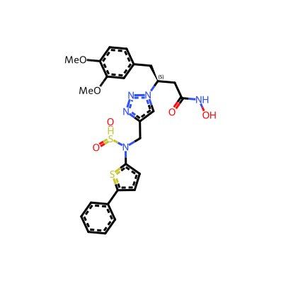 COc1ccc(C[C@@H](CC(=O)NO)n2cc(CN(c3ccc(-c4ccccc4)s3)[SH](=O)=O)nn2)cc1OC